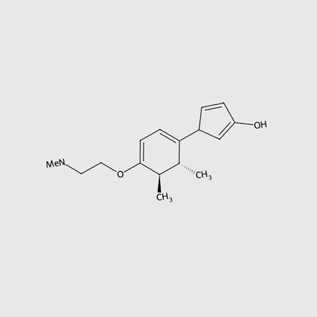 CNCCOC1=CC=C(C2C=CC(O)=C2)[C@H](C)[C@H]1C